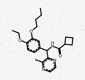 CCCCOc1cc(C(NC(=O)C2CCC2)c2nccnc2I)ccc1OCC